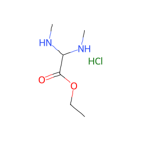 CCOC(=O)C(NC)NC.Cl